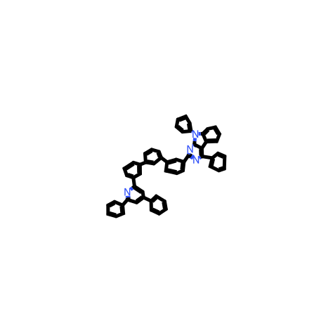 c1ccc(-c2cc(-c3ccccc3)nc(-c3cccc(-c4cccc(-c5cccc(-c6nc(-c7ccccc7)c7c8ccccc8n(-c8ccccc8)c7n6)c5)c4)c3)c2)cc1